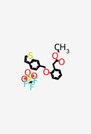 CCOC(=O)Cc1ccccc1OCc1cc(OS(=O)(=O)C(F)(F)F)c2ccsc2c1